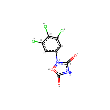 O=c1[nH]c(=O)n(-c2cc(Cl)c(Cl)c(Cl)c2)o1